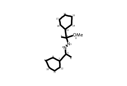 COC(C)(/N=N/C(C)C1CCCCC1)C1CCCCC1